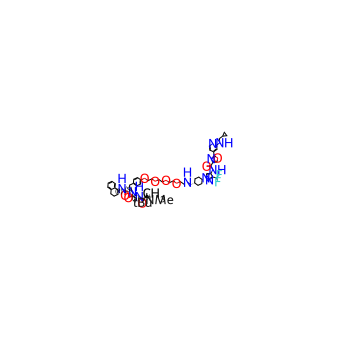 CN[C@@H](C)C(=O)N[C@H](C(=O)N1Cc2cc(OCCOCCOCCOCCNC[C@H]3CC[C@H](n4cc(NC(=O)c5coc(-c6ccnc(NCC7CC7)c6)n5)c(C(F)F)n4)CC3)ccc2C[C@H]1C(=O)N[C@@H]1CCCc2ccccc21)C(C)(C)C